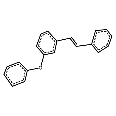 C(=Cc1cccc(Oc2ccccc2)c1)c1ccccc1